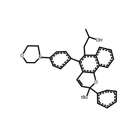 CC(O)Cc1c(-c2ccc(N3CCOCC3)cc2)c2c(c3ccccc13)OC(c1ccccc1)(C(C)(C)C)C=C2